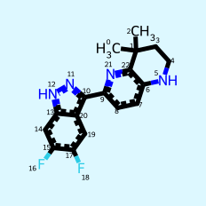 CC1(C)CCNc2ccc(-c3n[nH]c4cc(F)c(F)cc34)nc21